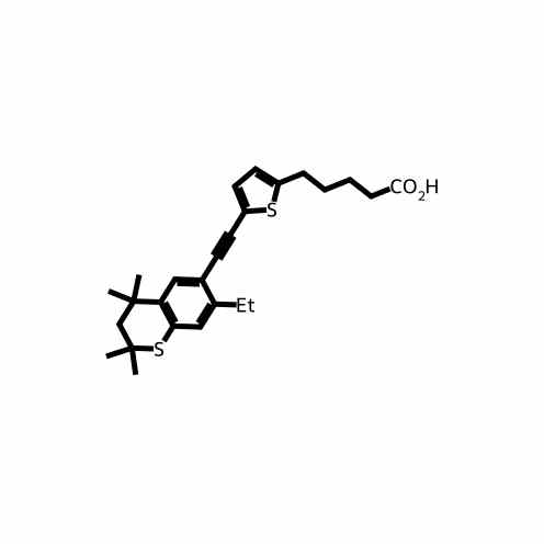 CCc1cc2c(cc1C#Cc1ccc(CCCCC(=O)O)s1)C(C)(C)CC(C)(C)S2